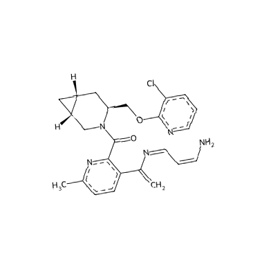 C=C(/N=C\C=C/N)c1ccc(C)nc1C(=O)N1C[C@@H]2C[C@@H]2C[C@H]1COc1ncccc1Cl